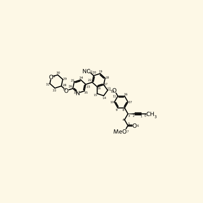 CC#C[C@@H](CC(=O)OC)c1ccc(O[C@@H]2CCc3c2ccc(C#N)c3-c2ccc(OC3CCOCC3)nc2)cc1